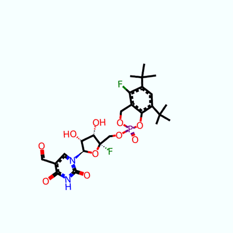 CC(C)(C)c1cc(C(C)(C)C)c2c(c1F)COP(=O)(OC[C@@]1(F)O[C@@H](n3cc(C=O)c(=O)[nH]c3=O)[C@H](O)[C@@H]1O)O2